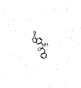 N#CN1CCc2cc(NC(=O)Cc3ccccc3)ccc21